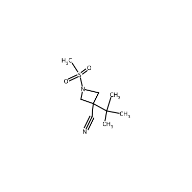 CC(C)(C)C1(C#N)CN(S(C)(=O)=O)C1